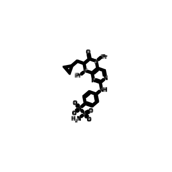 CC(C)N1C(=O)C(CC2CC2)N(C(C)C)c2nc(Nc3ccc(S(=O)(=O)S(N)(=O)=O)cc3)ncc21